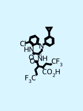 O=C(O)C(CCC(F)(F)F)C(CCC(F)(F)F)C(=O)N[C@H]1CN(c2cccc(C3CC3)c2)c2cccc(Cl)c2NC1=O